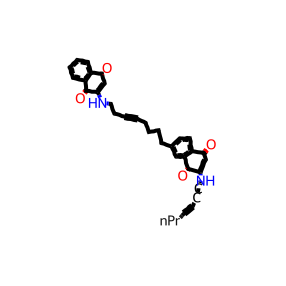 CCCC#CCCNC1=CC(=O)c2ccc(CCCCC#CCCNC3=CC(=O)c4ccccc4C3=O)cc2C1=O